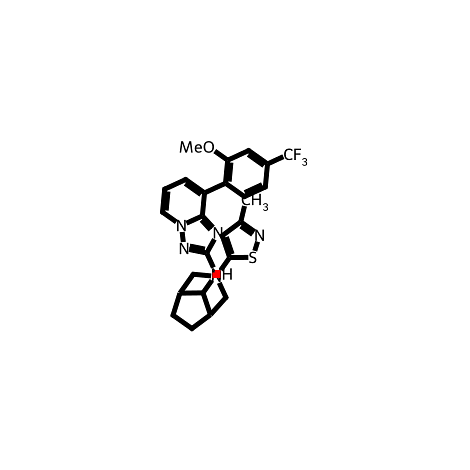 COc1cc(C(F)(F)F)ccc1-c1cccn2nc(NC3C4CCC3CN(c3cc(C)ns3)C4)nc12